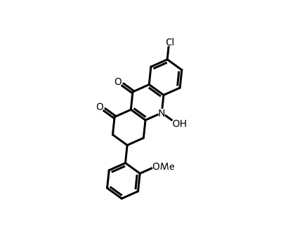 COc1ccccc1C1CC(=O)c2c(n(O)c3ccc(Cl)cc3c2=O)C1